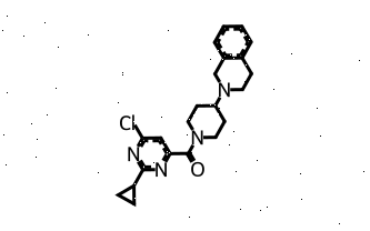 O=C(c1cc(Cl)nc(C2CC2)n1)N1CCC(N2CCc3ccccc3C2)CC1